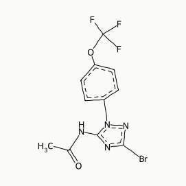 CC(=O)Nc1nc(Br)nn1-c1ccc(OC(F)(F)F)cc1